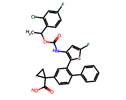 CC(OC(=O)Nc1cc(F)sc1-c1cc(C2(C(=O)O)CC2)ccc1-c1ccccc1)c1ccc(F)cc1Cl